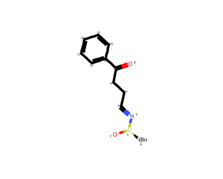 CC(C)(C)[S@@+]([O-])N=CCCC(=O)c1ccccc1